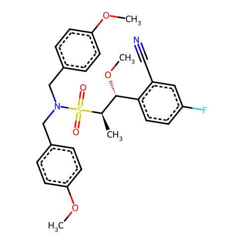 COc1ccc(CN(Cc2ccc(OC)cc2)S(=O)(=O)[C@H](C)[C@H](OC)c2ccc(F)cc2C#N)cc1